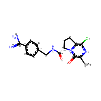 CNc1nc(Cl)c2n(c1=O)[C@H](C(=O)NCc1ccc(C(=N)N)cc1)CC2